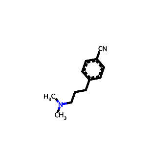 CN(C)CCCc1ccc(C#N)cc1